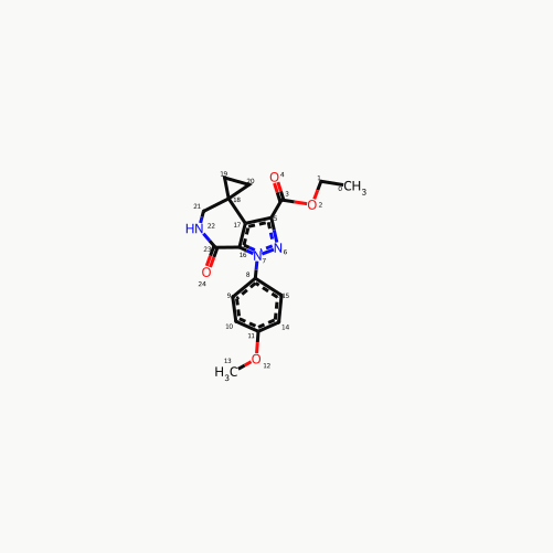 CCOC(=O)c1nn(-c2ccc(OC)cc2)c2c1C1(CC1)CNC2=O